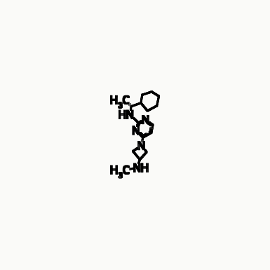 CNC1CN(c2ccnc(N[C@H](C)C3CCCCC3)n2)C1